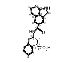 O=C(O)NC[C@H](Cc1ccccc1)NC(=O)c1cc2c3c(nccc3c1)NC2